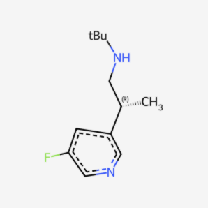 C[C@@H](CNC(C)(C)C)c1cncc(F)c1